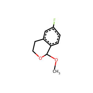 COC1OCCc2cc(F)ccc21